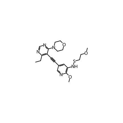 CCc1ncnc(N2CCOCC2)c1C#Cc1cnc(OC)c(NSCCOC)c1